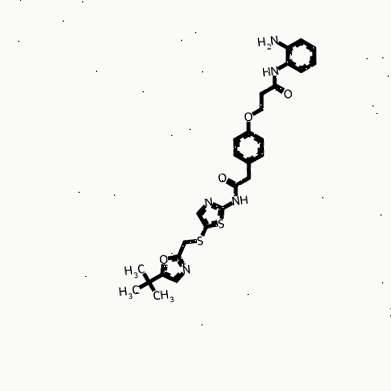 CC(C)(C)c1cnc(CSc2cnc(NC(=O)Cc3ccc(OCCC(=O)Nc4ccccc4N)cc3)s2)o1